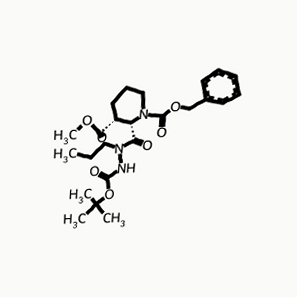 CCCN(NC(=O)OC(C)(C)C)C(=O)[C@@H]1[C@H](C(=O)OC)CCCN1C(=O)OCc1ccccc1